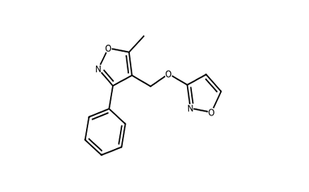 Cc1onc(-c2ccccc2)c1COc1ccon1